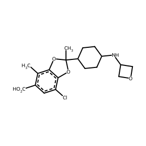 Cc1c(C(=O)O)cc(Cl)c2c1OC(C)(C1CCC(NC3COC3)CC1)O2